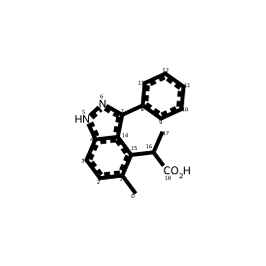 Cc1ccc2[nH]nc(-c3ccccc3)c2c1C(C)C(=O)O